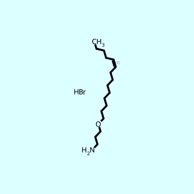 Br.CCCC/C=C\CCCCCCCCOCCCN